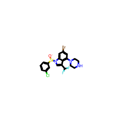 [O-][S+](c1cccc(Cl)c1)n1cc(C(F)F)c2c(N3CCNCC3)cc(Br)cc21